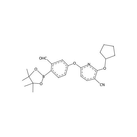 CC1(C)OB(c2ccc(Oc3ccc(C#N)c(OC4CCCC4)n3)cc2C=O)OC1(C)C